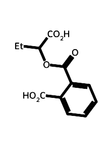 CCC(OC(=O)c1ccccc1C(=O)O)C(=O)O